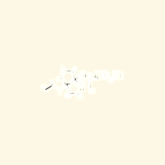 C=CC[C@@]12CCC[C@]1(OC(C)C(=O)OCC)OCC2